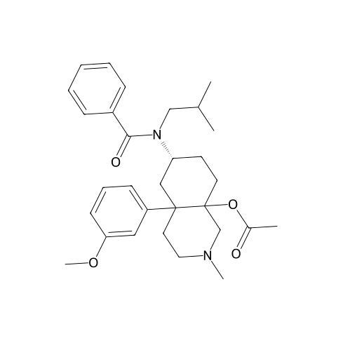 COc1cccc(C23CCN(C)CC2(OC(C)=O)CC[C@@H](N(CC(C)C)C(=O)c2ccccc2)C3)c1